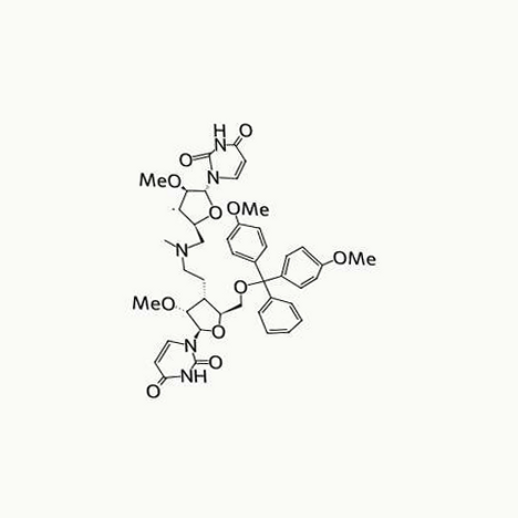 COc1ccc(C(OC[C@H]2O[C@@H](n3ccc(=O)[nH]c3=O)[C@H](OC)[C@@H]2CCN(C)C[C@H]2[CH][C@@H](OC)[C@H](n3ccc(=O)[nH]c3=O)O2)(c2ccccc2)c2ccc(OC)cc2)cc1